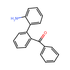 Nc1ccccc1-c1ccccc1C(=O)c1ccccc1